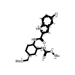 COC[C@H]1CCC(NC(=O)c2cc3cc(Cl)ccc3[nH]2)C(NC(=O)OC(C)(C)C)C1